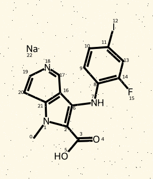 Cn1c(C(=O)O)c(Nc2ccc(I)cc2F)c2cnccc21.[Na]